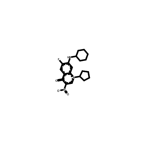 O=c1c([N+](=O)[O-])cn(C2CCCC2)c2cc(NC3CCCCC3)c(F)cc12